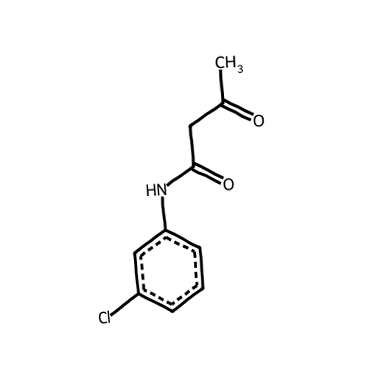 CC(=O)CC(=O)Nc1cccc(Cl)c1